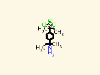 CCC(C)(N)c1ccc(C(C)(CC)[Si](Cl)(Cl)Cl)cc1